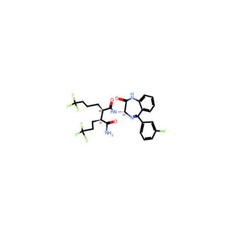 NC(=O)[C@@H](CCC(F)(F)F)[C@@H](CCCC(F)(F)F)C(=O)N[C@H]1N=C(c2cccc(F)c2)c2ccccc2NC1=O